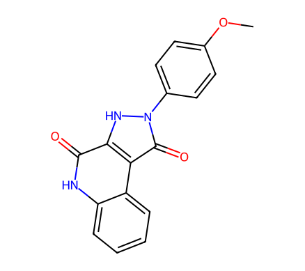 COc1ccc(-n2[nH]c3c(=O)[nH]c4ccccc4c3c2=O)cc1